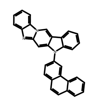 c1ccc2c(c1)ccc1ccc(-n3c4ccccc4c4cn5c(cc43)nc3ccccc35)cc12